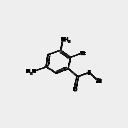 CCSC(=O)c1cc(N)cc(N)c1CC